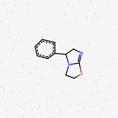 c1ccc(C2CN=C3SCCN32)cc1